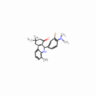 COc1cccc2c1NC(c1ccc(N(C)C)c(Br)c1)C1=C2CC(C)(C)CC1=O